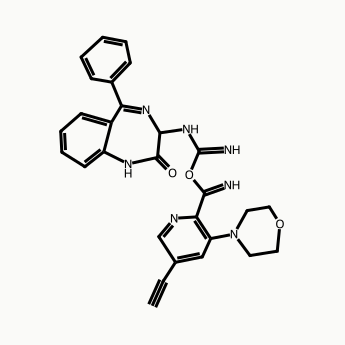 C#Cc1cnc(C(=N)OC(=N)NC2N=C(c3ccccc3)c3ccccc3NC2=O)c(N2CCOCC2)c1